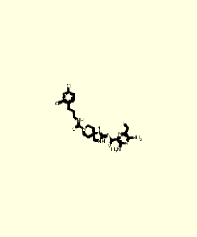 Nc1nc(N)c(C(=O)/N=C2\NCC3(CCN(C(=O)NCCCc4ccc(Cl)cc4Cl)CC3)N2)nc1CI